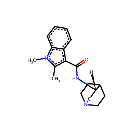 Cc1c(C(=O)N[C@H]2CN3CCC2CC3)c2ccccc2n1C